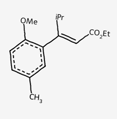 CCOC(=O)/C=C(/c1cc(C)ccc1OC)C(C)C